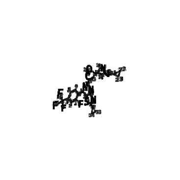 Fc1cc(C(F)(F)F)ccc1-c1nc(C2=C[C@H](c3cnn(C4CC4)c3)OCC2)nc2nc(C3CC3)sc12